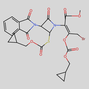 COC(=O)C(=C(CBr)OC(=O)OCC1CC1)N1C(=O)C(N2C(=O)c3ccccc3C2=O)C1SC(=O)OCC1CC1